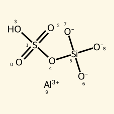 O=S(=O)(O)O[Si]([O-])([O-])[O-].[Al+3]